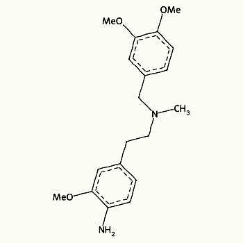 COc1cc(CCN(C)Cc2ccc(OC)c(OC)c2)ccc1N